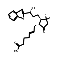 O=C(O)CCCC=CC[C@H]1C(=O)CC(F)(F)[C@@H]1CC[C@@H](O)c1cc2ccccc2s1